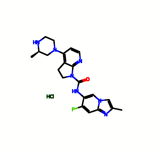 Cc1cn2cc(NC(=O)N3CCc4c(N5CCN[C@H](C)C5)ccnc43)c(F)cc2n1.Cl